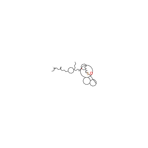 C=C(CCCC1CCCC(CCCC)(CCCC2CCCC34CCCCCCCC5CC6CCCC(CCCC6CCCCCC5CCCC(C)CCC3)C(=O)SCC(C2)C4)CCC1)CC[C@@H](C)CC